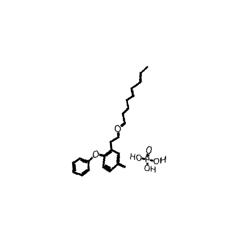 CCCCCCCCCOCCc1cc(C)ccc1Oc1ccccc1.O=P(O)(O)O